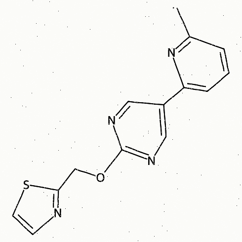 [CH2]c1cccc(-c2cnc(OCc3nccs3)nc2)n1